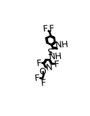 Fc1cc(NSc2c[nH]c3cc(C(F)F)ccc23)c(F)nc1OCC(F)F